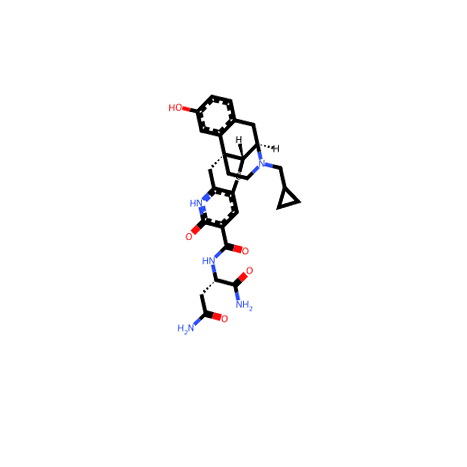 NC(=O)C[C@H](NC(=O)c1cc2c([nH]c1=O)C[C@]13CCN(CC4CC4)[C@H](Cc4ccc(O)cc41)[C@@H]3C2)C(N)=O